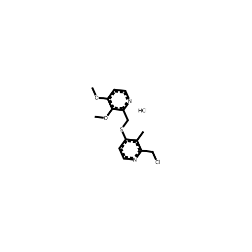 COc1ccnc(CSc2ccnc(CCl)c2C)c1OC.Cl